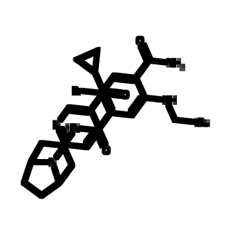 CC(C)(C)CNc1cc(C(=O)NC2CC3CCC(C2)N3c2ccc(C(=O)C3CC3)cn2)c(Br)cc1C(N)=O